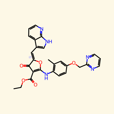 CCOC(=O)C1=C(Nc2ccc(OCc3ncccn3)cc2C)O/C(=C\c2c[nH]c3ncccc23)C1=O